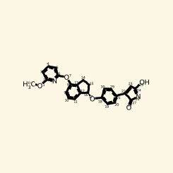 COc1cccc(Oc2cccc3c2CC[C@H]3Oc2ccc(C3=CC(O)=NC3=O)cc2)n1